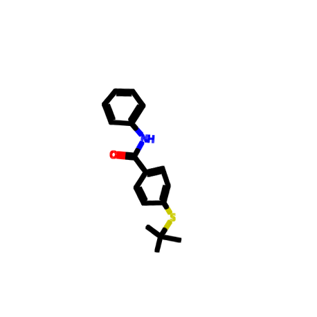 CC(C)(C)Sc1ccc(C(=O)Nc2ccccc2)cc1